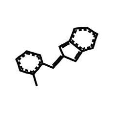 Cc1ccccc1C=C1C=c2ccccc2=C1